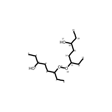 CCC(O)CCC(CC)OOC(CC)CCC(O)CC